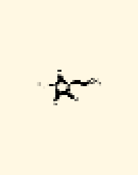 CCCN1C(=O)N(C)C(=O)C1S